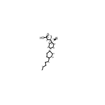 CCCCCC1CCC([C@H]2CC[C@](C#N)([C@H](C)CC(=O)O)CC2)CC1